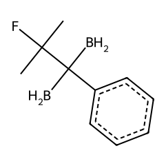 BC(B)(c1ccccc1)C(C)(C)F